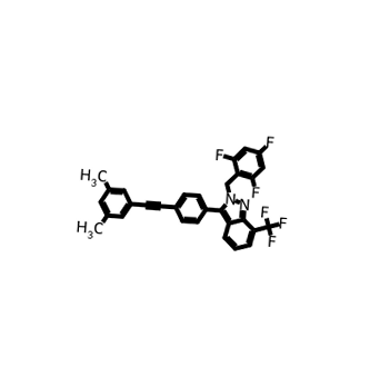 Cc1cc(C)cc(C#Cc2ccc(-c3c4cccc(C(F)(F)F)c4nn3Cc3c(F)cc(F)cc3F)cc2)c1